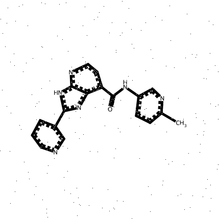 Cc1ccc(NC(=O)c2ccnc3[nH]c(-c4cccnc4)nc23)cn1